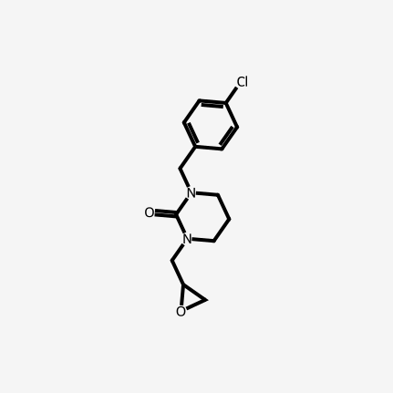 O=C1N(Cc2ccc(Cl)cc2)CCCN1CC1CO1